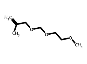 C=C(C)COCOCCOC